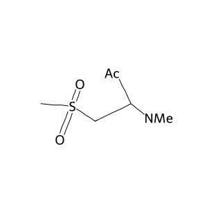 CNC(CS(C)(=O)=O)C(C)=O